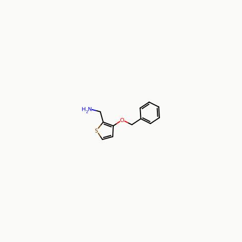 NCc1sccc1OCc1ccccc1